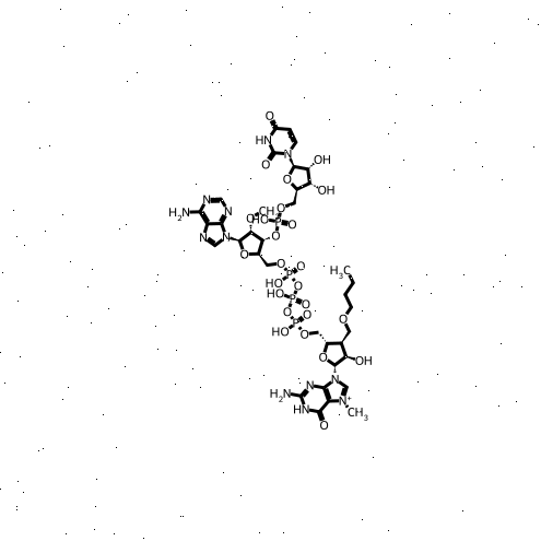 CCCCOC[C@H]1[C@@H](O)[C@H](n2c[n+](C)c3c(=O)[nH]c(N)nc32)O[C@@H]1COP(=O)(O)OP(=O)(O)OP(=O)(O)OC[C@H]1O[C@@H](n2cnc3c(N)ncnc32)[C@H](OC)[C@@H]1OP(=O)(O)OC[C@H]1O[C@@H](n2ccc(=O)[nH]c2=O)[C@H](O)[C@@H]1O